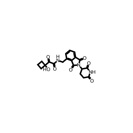 O=C1CCC(N2C(=O)c3cccc(CNC(=O)C(=O)C4(O)CCC4)c3C2=O)C(=O)N1